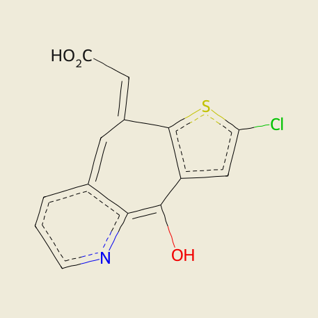 O=C(O)C=C1C=c2cccnc2=C(O)c2cc(Cl)sc21